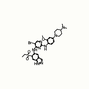 CCS(=O)(=O)c1cc2[nH]ncc2cc1Nc1nc(Nc2ccc(N3CCC(N(C)C)CC3)cc2OC)ncc1Br